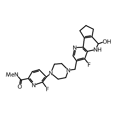 CNC(=O)c1ccc(N2CCN(Cc3cnc4c(c3F)NC(O)C3=C4CCC3)CC2)c(F)n1